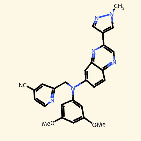 COc1cc(OC)cc(N(Cc2cc(C#N)ccn2)c2ccc3ncc(-c4cnn(C)c4)nc3c2)c1